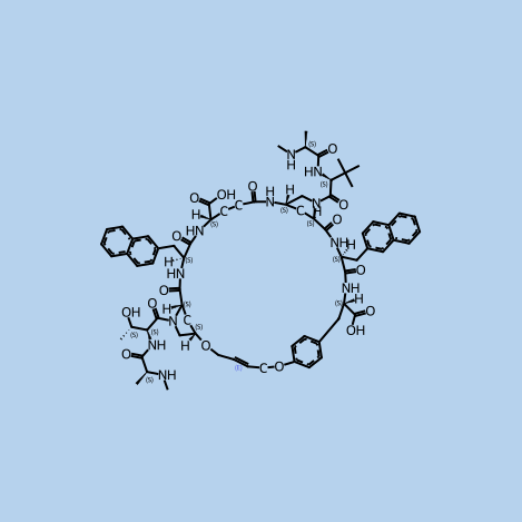 CN[C@@H](C)C(=O)N[C@H](C(=O)N1C[C@@H]2C[C@H]1C(=O)N[C@@H](Cc1ccc3ccccc3c1)C(=O)N[C@H](C(=O)O)CCC(=O)N[C@H]1C[C@@H](C(=O)N[C@@H](Cc3ccc4ccccc4c3)C(=O)N[C@H](C(=O)O)Cc3ccc(cc3)OC/C=C/CO2)N(C(=O)[C@@H](NC(=O)[C@H](C)NC)C(C)(C)C)C1)[C@H](C)O